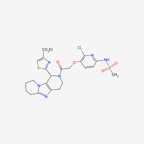 CCOC(=O)c1csc(C2c3c(nc4n3CCCC4)CCN2C(=O)COc2ccc(NS(C)(=O)=O)nc2Cl)n1